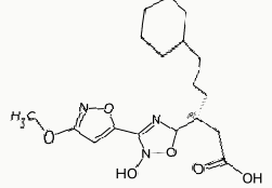 COc1cc(C2=NC([C@H](CCCC3CCCCC3)CC(=O)O)ON2O)on1